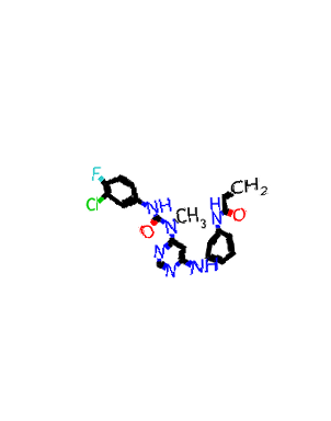 C=CC(=O)Nc1cccc(Nc2cc(N(C)C(=O)Nc3ccc(F)c(Cl)c3)ncn2)c1